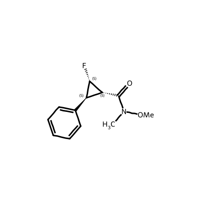 CON(C)C(=O)[C@H]1[C@@H](F)[C@@H]1c1ccccc1